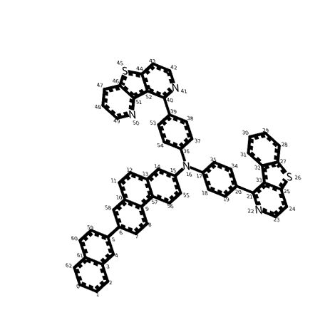 c1ccc2cc(-c3ccc4c(ccc5cc(N(c6ccc(-c7nccc8sc9ccccc9c78)cc6)c6ccc(-c7nccc8sc9cccnc9c78)cc6)ccc54)c3)ccc2c1